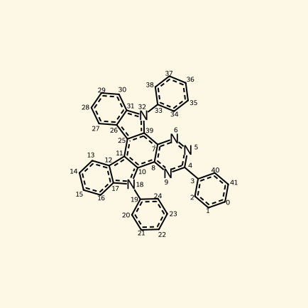 c1ccc(-c2nnc3c(n2)c2c(c4ccccc4n2-c2ccccc2)c2c4ccccc4n(-c4ccccc4)c32)cc1